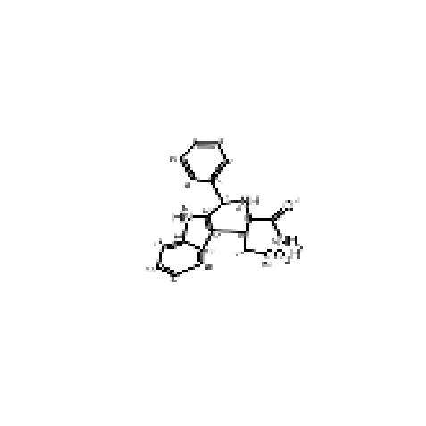 NC(=O)C1NC(c2ccccc2)c2[nH]c3ccccc3c2C1CC(=O)O